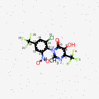 Cc1nc(C(F)(F)F)c(O)c(=O)n1-c1c(Cl)cc(C(F)(F)F)cc1[N+](=O)[O-]